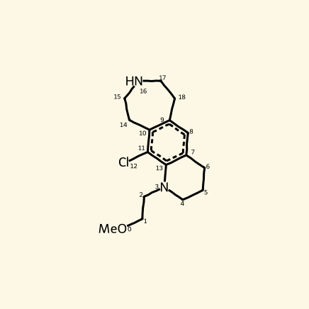 COCCN1CCCc2cc3c(c(Cl)c21)CCNCC3